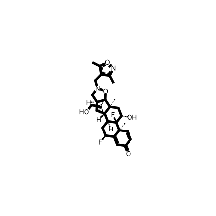 Cc1noc(C)c1CN1C[C@@H]2C[C@H]3[C@@H]4C[C@H](F)C5=CC(=O)C=C[C@]5(C)[C@@]4(F)[C@@H](O)C[C@]3(C)[C@]2(C(=O)CO)O1